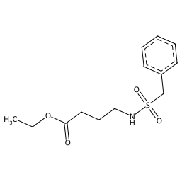 CCOC(=O)CCCNS(=O)(=O)Cc1ccccc1